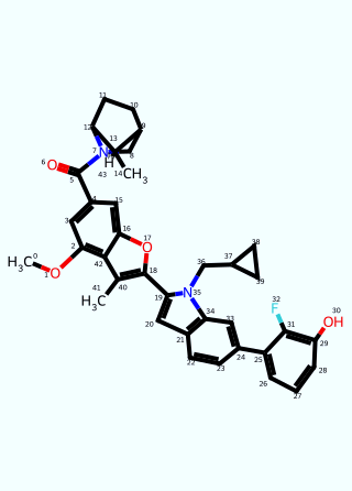 COc1cc(C(=O)N2CC3CCC2[C@@H]3C)cc2oc(-c3cc4ccc(-c5cccc(O)c5F)cc4n3CC3CC3)c(C)c12